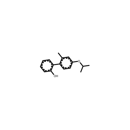 Cc1cc(OC(C)C)ccc1-c1ccccc1O